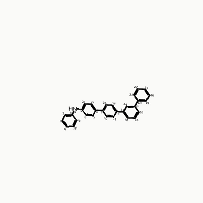 c1ccc(Nc2ccc(-c3ccc(-c4cccc(-c5ccccc5)c4)cc3)cc2)cc1